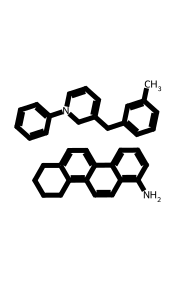 Cc1cccc(CC2=CC=CN(c3ccccc3)C2)c1.Nc1cccc2c1ccc1c3c(ccc12)CCCC3